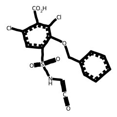 O=C=CNS(=O)(=O)c1cc(Cl)c(C(=O)O)c(Cl)c1OCc1ccccc1